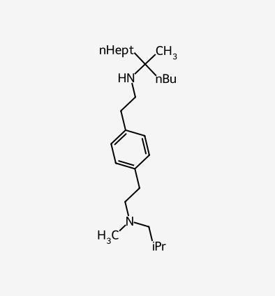 CCCCCCCC(C)(CCCC)NCCc1ccc(CCN(C)CC(C)C)cc1